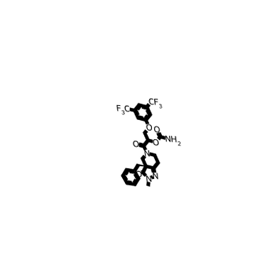 CN1N=C2CCN(C(=O)C(COc3cc(C(F)(F)F)cc(C(F)(F)F)c3)OC(N)=O)C[C@@]2(Cc2ccccc2)C1=O